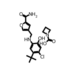 CC(C)(C)c1cc(NCc2coc(C(N)=O)c2)c(O)cc1Cl.O=C(O)N1CCC1